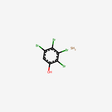 Oc1cc(Br)c(Br)c(Br)c1Br.S